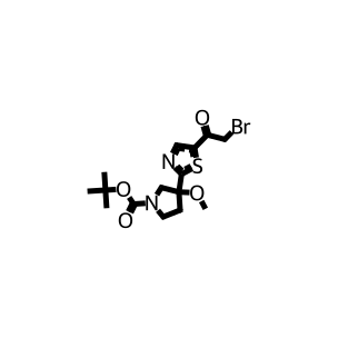 COC1(c2ncc(C(=O)CBr)s2)CCN(C(=O)OC(C)(C)C)C1